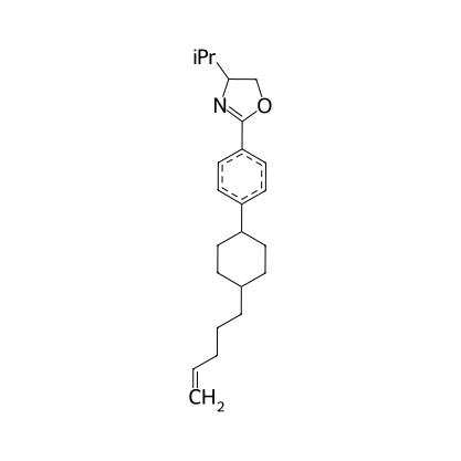 C=CCCCC1CCC(c2ccc(C3=NC(C(C)C)CO3)cc2)CC1